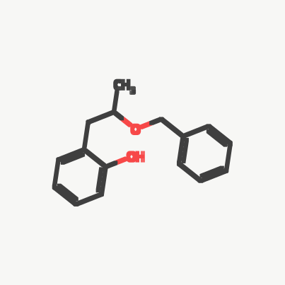 CC(Cc1ccccc1O)OCc1ccccc1